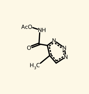 CC(=O)ONC(=O)c1nnncc1C